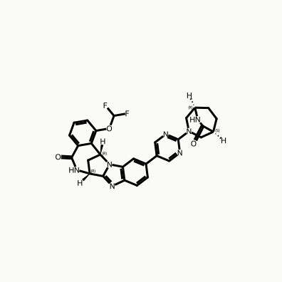 O=C1N[C@@H]2C[C@H](c3c(OC(F)F)cccc31)n1c2nc2ccc(-c3cnc(N4C[C@H]5CC[C@@H](C4)C(=O)N5)nc3)cc21